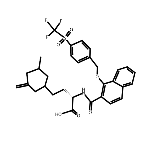 C=C1CC(C)CC(CC[C@H](NC(=O)c2ccc3ccccc3c2OCc2ccc(S(=O)(=O)C(F)(F)F)cc2)C(=O)O)C1